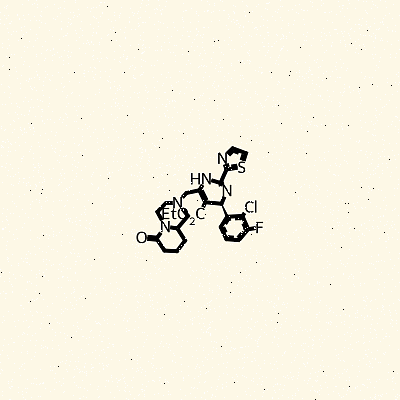 CCOC(=O)C1=C(CN2CCN3C(=O)CCCC3C2)NC(c2nccs2)=N[C@H]1c1cccc(F)c1Cl